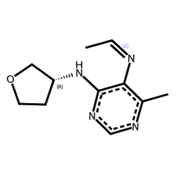 C/C=N\c1c(C)ncnc1N[C@@H]1CCOC1